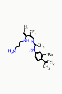 C=C(C)c1ccc(N/C(C)=N/C=C(\C(=C/C)NCCCN)C(F)(F)F)cc1C(C)(C)C